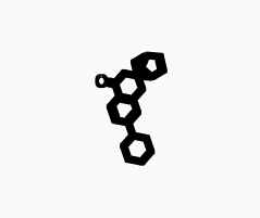 O=C1CC2(Cc3cc(C4CCCCC4)ccc31)CC1C=CC2C1